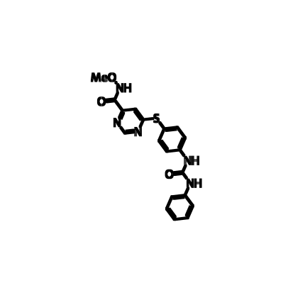 CONC(=O)c1cc(Sc2ccc(NC(=O)Nc3ccccc3)cc2)ncn1